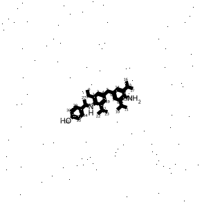 CCc1cc(Cc2cc(C(C)C)c(N)c(C(C)C)c2)cc(C(C)C)c1NC(C)c1ccc(O)cc1